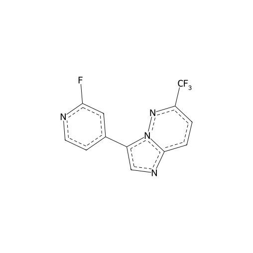 Fc1cc(-c2cnc3ccc(C(F)(F)F)nn23)ccn1